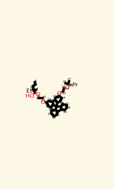 CC=CC(C)(CC)C(O)OCCOc1ccc(C2(c3ccc(OCCOC(C)(C)CCC)cc3)c3ccccc3-c3ccccc32)cc1